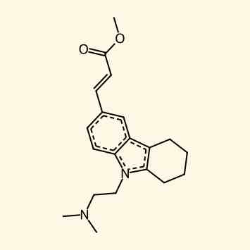 COC(=O)C=Cc1ccc2c(c1)c1c(n2CCN(C)C)CCCC1